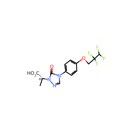 C[C@H](C(=O)O)n1ncn(-c2ccc(OCC(F)(F)C(F)F)cc2)c1=O